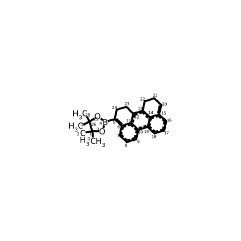 CC1(C)OB(C2=c3cccc4c3c(c3c5c(cccc54)=CCC3)CC2)OC1(C)C